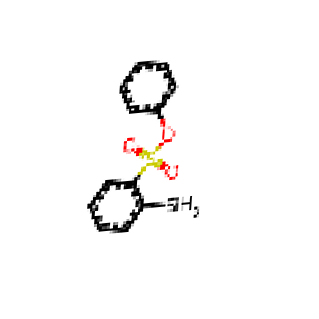 O=S(=O)(Oc1ccccc1)c1ccccc1[SiH3]